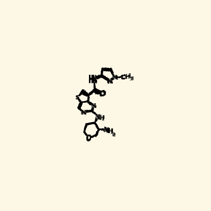 Cn1ccc(NC(=O)c2csc3cnc(N[C@@H]4CCOC[C@@H]4N)nc23)n1